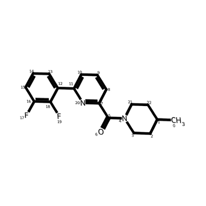 CC1CCN(C(=O)c2cccc(-c3cccc(F)c3F)n2)CC1